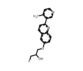 Cc1ccncc1-c1ccc2cc(OCC(O)CF)ccc2n1